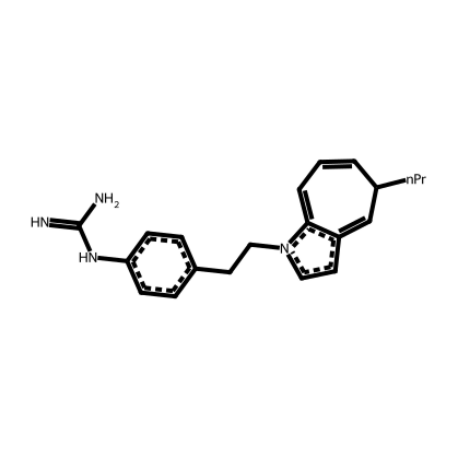 CCCC1C=CC=c2c(ccn2CCc2ccc(NC(=N)N)cc2)=C1